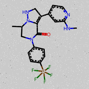 CNc1cc(C2=C3C(=O)N(c4ccc(S(F)(F)(F)(F)F)cc4)CC(C)N3NC2)ccn1